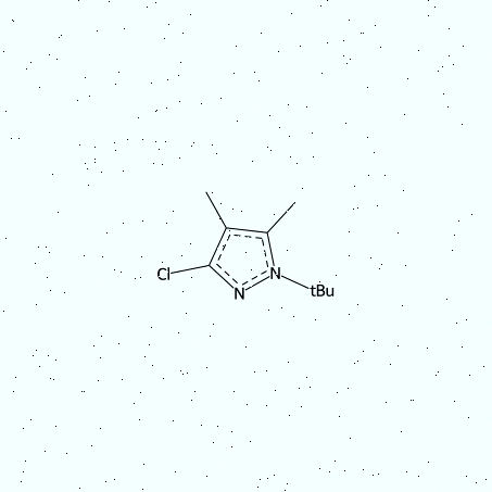 Cc1c(Cl)nn(C(C)(C)C)c1C